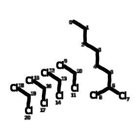 CCCCCCC(Cl)Cl.ClCCl.ClCCl.ClCCl.ClCCl